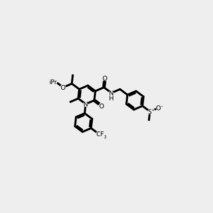 Cc1c(C(C)OC(C)C)cc(C(=O)NCc2ccc([S+](C)[O-])cc2)c(=O)n1-c1cccc(C(F)(F)F)c1